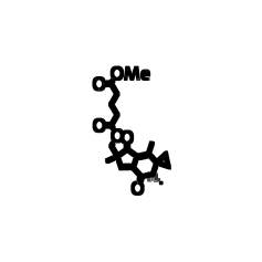 COC(=O)CCCC(=O)OCC1(C)C=C2C(=O)[C@@H](C)C3(CC3)C(C)=C2C1=O